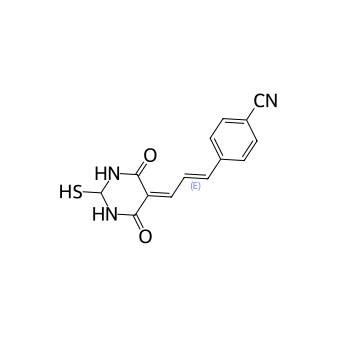 N#Cc1ccc(/C=C/C=C2C(=O)NC(S)NC2=O)cc1